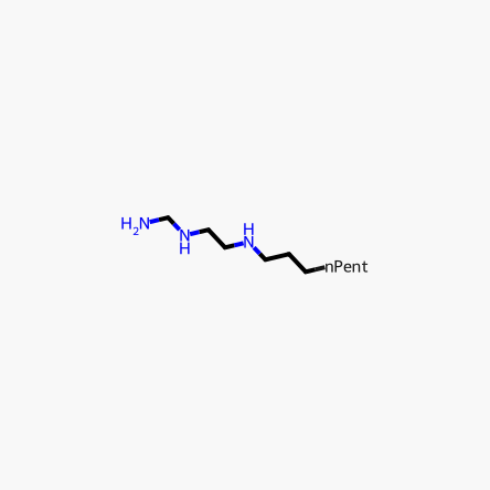 [CH2]CCCCCCCNCCNCN